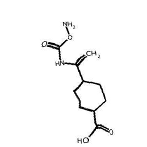 C=C(NC(=O)ON)C1CCC(C(=O)O)CC1